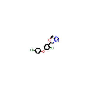 C#COC(Cn1cncn1)c1ccc(Oc2ccc(Cl)cc2)cc1Cl